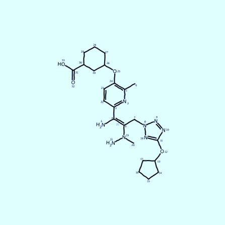 Cc1nc(/C(N)=C(\Cn2nnc(OC3CCCC3)n2)N(C)N)ccc1OC1CCCC(C(=O)O)C1